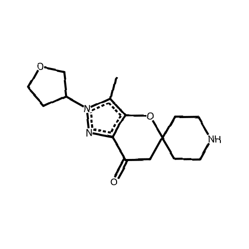 Cc1c2c(nn1C1CCOC1)C(=O)CC1(CCNCC1)O2